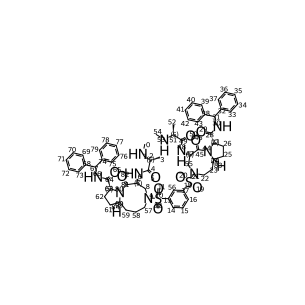 CN[C@@H](C)C(=O)N[C@H]1CN(S(=O)(=O)c2cccc(S(=O)(=O)N3CC[C@H]4CC[C@@H](C(=O)NC(c5ccccc5)c5ccccc5)N4C(=O)[C@@H](NC(=O)[C@H](C)NC)C3)c2)CCC[C@H]2CC[C@@H](C(=O)NC(c3ccccc3)c3ccccc3)N2C1=O